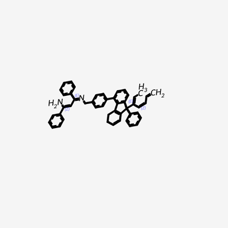 C=C/C=C\C(=C/C)C1(c2ccccc2)C2=C(CCC=C2)c2c(-c3ccc(C/N=C(\C=C(/N)c4ccccc4)c4ccccc4)cc3)cccc21